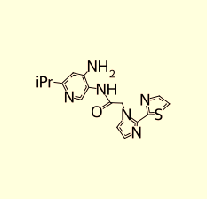 CC(C)c1cc(N)c(NC(=O)Cn2ccnc2-c2nccs2)cn1